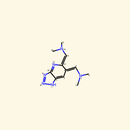 CN(C)C=c1cc2[nH]nnc2nc1=CN(C)C